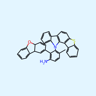 Cc1ccc(N)c(C2=CC3c4ccccc4OC3C=C2)c1-n1c2ccccc2c2ccc3sc4ccccc4c3c21